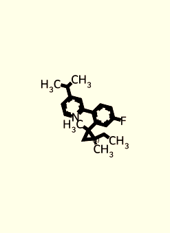 CC[C@]1(C)CC1(C)c1cc(F)ccc1-c1cc(C(C)C)ccn1